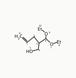 C=CCC(CO)C(OCC)OCC